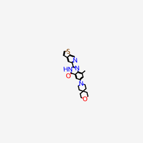 Cc1cc(N2CCC3(CCOCC3)CC2)cc2c(=O)[nH]c(-c3cc4ccsc4cn3)nc12